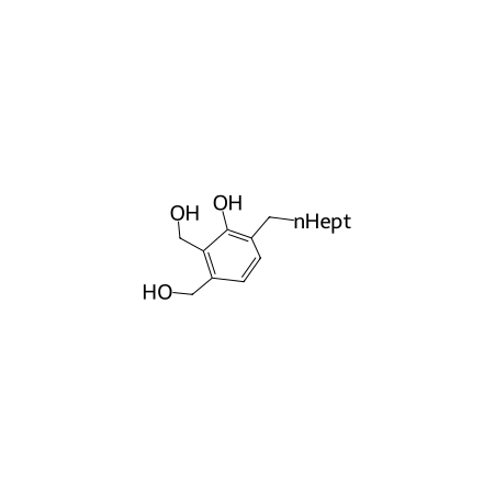 CCCCCCCCc1ccc(CO)c(CO)c1O